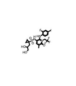 Cc1cc(NS(=O)(=O)C2(CC(O)CO)CC2)c(Nc2ccc(I)cc2F)n(CC(F)(F)F)c1=O